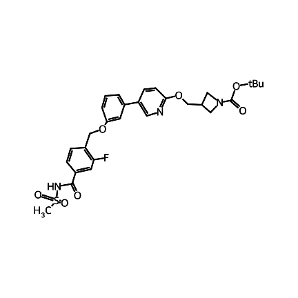 CC(C)(C)OC(=O)N1CC(COc2ccc(-c3cccc(OCc4ccc(C(=O)NS(C)(=O)=O)cc4F)c3)cn2)C1